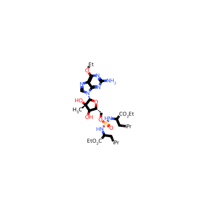 CCOC(=O)C(CC(C)C)NP(=O)(NC(CC(C)C)C(=O)OCC)OC[C@H]1O[C@@H](n2cnc3c(OCC)nc(N)nc32)[C@@](C)(O)C1O